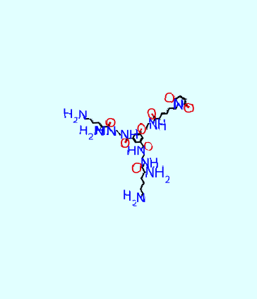 NCCCC[C@H](N)C(=O)NCCNC(=O)c1cc(OCCNC(=O)CCCCCN2C(=O)C=CC2=O)cc(C(=O)NCCNC(=O)[C@@H](N)CCCCN)c1